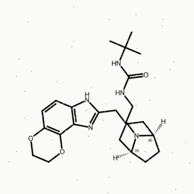 CC(C)(C)NC(=O)NCCN1[C@@H]2CC[C@H]1CC(Cc1nc3c4c(ccc3[nH]1)OCCO4)C2